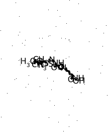 CC(C)(C)c1cnc(CSC2CN=C(NC(=O)C3CCN(CCCCCC(=O)NO)CC3)S2)o1